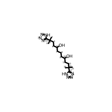 CC(C)(CCC(O)CCCC(O)CCC(C)(C)c1nnn[nH]1)c1nnn[nH]1